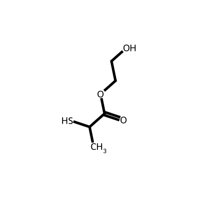 CC(S)C(=O)OCCO